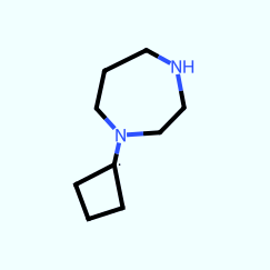 C1C[C](N2CCCNCC2)C1